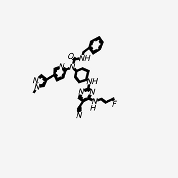 Cn1cc(-c2ccc(N(C(=O)NCc3ccccc3)C3CCC(Nc4ncc(C#N)c(NCCCF)n4)CC3)nc2)cn1